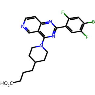 O=C(O)CCCC1CCN(c2nc(-c3cc(F)c(Br)cc3F)nc3ccncc23)CC1